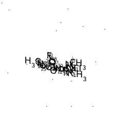 Cc1nc2c3c(nn2c(C)c1Cl)CN(C(=O)c1ccc(F)cc1OC1CCN(C)C1)C3